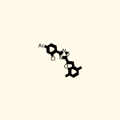 CC(=O)c1ccc(-c2noc(-c3cc4c(C)ccc(C)c4o3)n2)c(Cl)c1